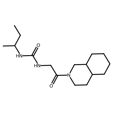 CCC(C)NC(=O)NCC(=O)N1CCC2CCCCC2C1